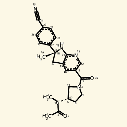 CC(=O)N(C)[C@H]1CCN(C(=O)c2cnc3c(c2)C[C@](C)(c2ccc(C#N)cc2)N3)C1